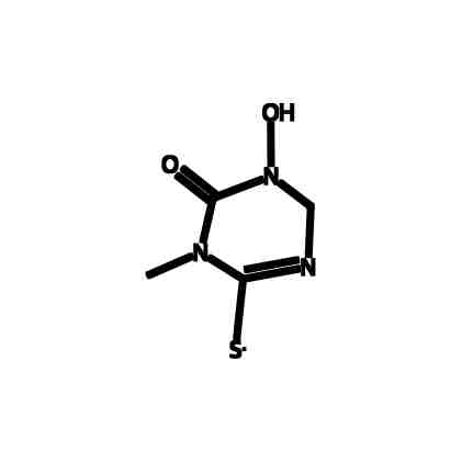 CN1C(=O)N(O)CN=C1[S]